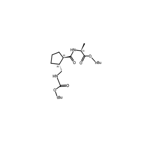 CCCCOC(=O)[C@H](C)NC(=O)[C@@H]1CCC[C@H]1CNC(=O)OC(C)(C)C